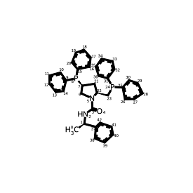 C[C@@H](NC(=O)N1C[C@@H](P(c2ccccc2)c2ccccc2)C[C@H]1CP(c1ccccc1)c1ccccc1)c1ccccc1